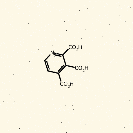 O=C(O)c1ccnc(C(=O)O)c1C(=O)O